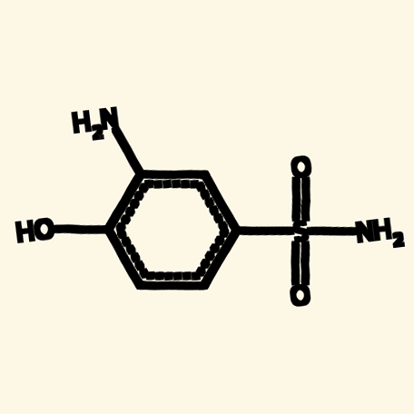 Nc1cc(S(N)(=O)=O)ccc1O